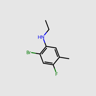 CCNc1cc(C)c(F)cc1Br